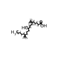 CCCCCC1(CCCC(O)CCCC2(CCCCC(=O)O)CC2)CC1